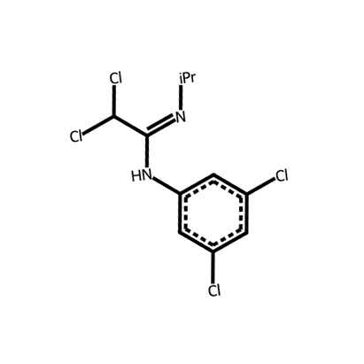 CC(C)N=C(Nc1cc(Cl)cc(Cl)c1)C(Cl)Cl